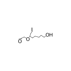 C=CCC(CCCCCO)OCC1CO1